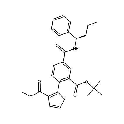 CCC[C@@H](NC(=O)c1ccc(C2=C(C(=O)OC)C=CC2)c(C(=O)OC(C)(C)C)c1)c1ccccc1